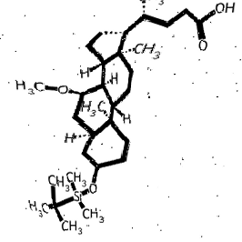 CO[C@@H]1C[C@@H]2CC(O[Si](C)(C)C(C)(C)C)CC[C@]2(C)[C@H]2CC[C@]3(C)[C@@H]([C@H](C)CCC(=O)O)CC[C@H]3[C@H]12